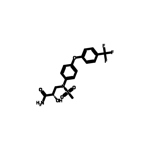 CS(=O)(=O)N(C[C@H](O)C(N)=O)c1ccc(Oc2ccc(C(F)(F)F)cc2)cc1